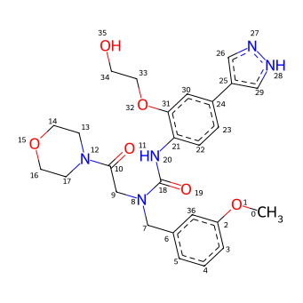 COc1cccc(CN(CC(=O)N2CCOCC2)C(=O)Nc2ccc(-c3cn[nH]c3)cc2OCCO)c1